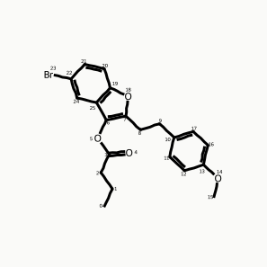 CCCC(=O)Oc1c(CCc2ccc(OC)cc2)oc2ccc(Br)cc12